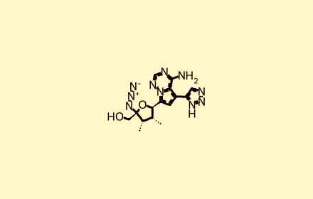 C[C@H]1[C@H](c2cc(-c3cnn[nH]3)c3c(N)ncnn23)O[C@@](CO)(N=[N+]=[N-])[C@H]1C